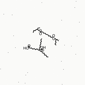 CCCCC(CC)COC(=O)CCCCCCCCC(=O)OCC(CC)CCCC.CCCCCCCCC(CCCCCCCC)(CCCCCCCC(=O)O)C(=O)O